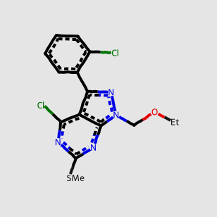 CCOCn1nc(-c2ccccc2Cl)c2c(Cl)nc(SC)nc21